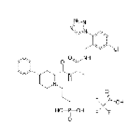 C[C@H](NC(=O)[C@H]1C[C@@H](c2ccccc2)CCN1CCCP(=O)(O)O)C(=O)NCc1cc(Cl)ccc1-n1cnnn1.O=C(O)C(F)(F)F